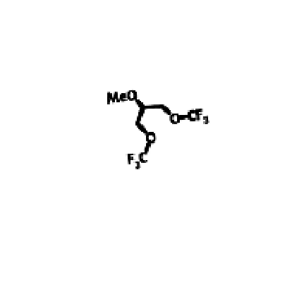 COC(COC(F)(F)F)COC(F)(F)F